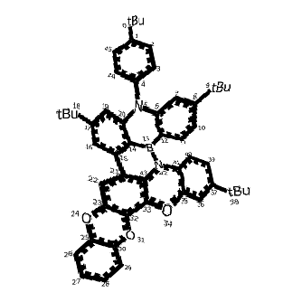 CC(C)(C)c1ccc(N2c3cc(C(C)(C)C)ccc3B3c4c(cc(C(C)(C)C)cc42)-c2cc4oc5ccccc5oc4c4oc5cc(C(C)(C)C)ccc5n3c24)cc1